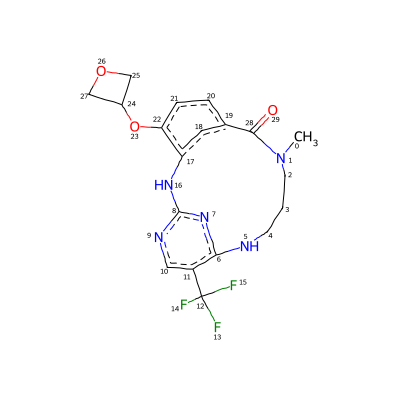 CN1CCCNc2nc(ncc2C(F)(F)F)Nc2cc(ccc2OC2COC2)C1=O